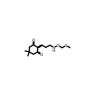 CSCONCCC=C1C(=O)CC(C)(C)CC1=O